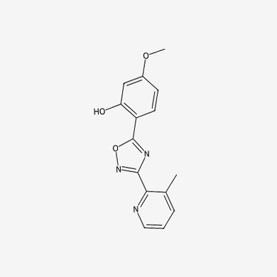 COc1ccc(-c2nc(-c3ncccc3C)no2)c(O)c1